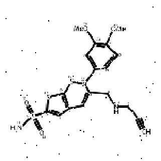 C#CCNCC1=Cc2cc(S(N)(=O)=O)sc2SN1c1ccc(OC)c(OC)c1